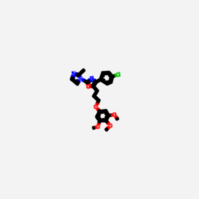 COc1cc(OCCCc2oc(-n3ccnc3C)nc2-c2ccc(Cl)cc2)cc(OC)c1OC